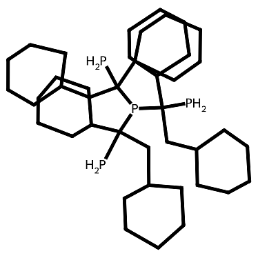 PC(CC1CCCCC1)(C1CCCCC1)P(C(P)(CC1CCCCC1)C1CCCCC1)C(P)(CC1CCCCC1)C1CCCCC1